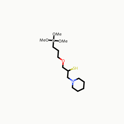 CO[Si](CCCOCC(S)CN1CCCCC1)(OC)OC